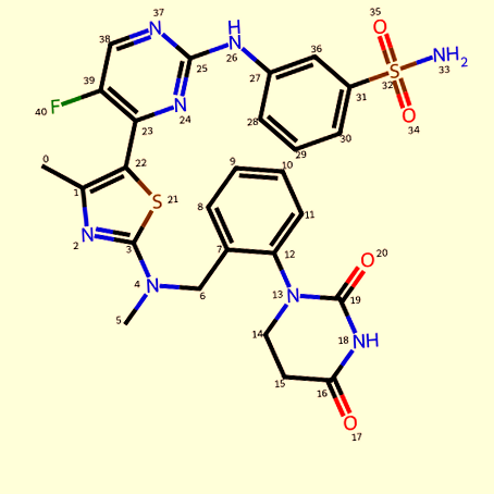 Cc1nc(N(C)Cc2ccccc2N2CCC(=O)NC2=O)sc1-c1nc(Nc2cccc(S(N)(=O)=O)c2)ncc1F